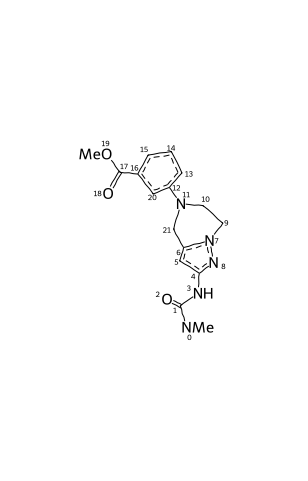 CNC(=O)Nc1cc2n(n1)CCN(c1cccc(C(=O)OC)c1)C2